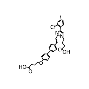 Cc1ccc(-c2cn(CCCC(=O)O)c(/C=C/c3ccc(-c4ccc(OCCCC(=O)O)cc4)cc3)n2)c(Cl)c1